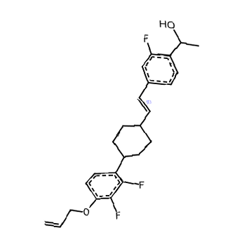 C=CCOc1ccc(C2CCC(/C=C/c3ccc(C(C)O)c(F)c3)CC2)c(F)c1F